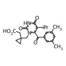 Cc1cc(C)cc(C(=O)c2c(C(C)C)c(=O)[nH]c(=O)n2CC2(CC(=O)O)CC2)c1